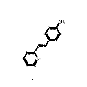 Nc1ccc(C=Cc2ccccn2)cc1